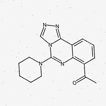 CC(=O)c1cccc2c1nc(N1CCCCC1)n1cnnc21